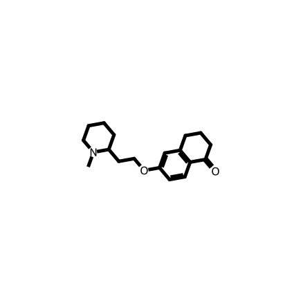 CN1CCCCC1CCOc1ccc2c(c1)CCCC2=O